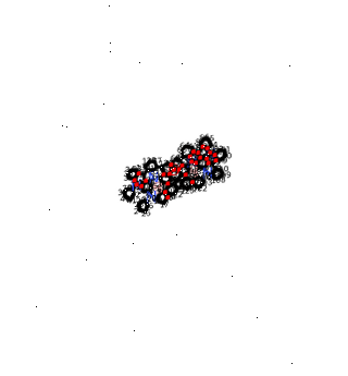 C1=CCC(C2=C(N3c4cc5c(cc4B4c6ccccc6N(c6ccccc6)c6cc(N(c7ccccc7)c7ccccc7)cc3c64)C3(c4cc6c(cc4O5)N(C4=C(C5C=CC=CC5)C=CCC4C4=CCCC=C4)c4cc(N(c5ccccc5)c5ccccc5-c5ccccc5)cc5c4B6c4ccccc4N5c4ccccc4-c4ccccc4)c4ccccc4-c4ccccc43)C(C3=CCCC=C3)CC=C2)C=C1